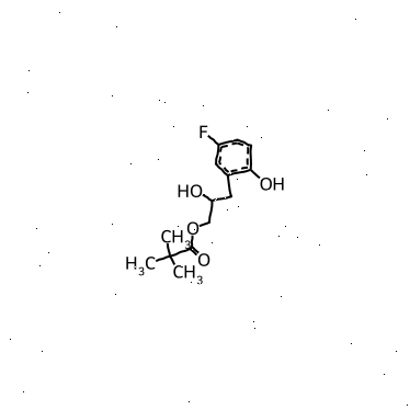 CC(C)(C)C(=O)OCC(O)Cc1cc(F)ccc1O